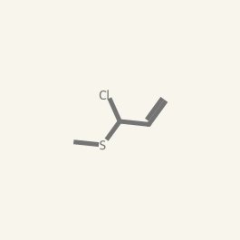 C=CC(Cl)SC